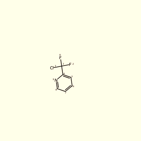 FC(F)(Cl)c1c[c]ccn1